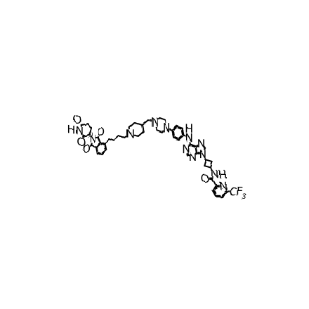 O=C1CC[C@H](N2C(=O)c3cccc(CCCCN4CCC(CN5CCN(c6ccc(Nc7ncnc8c7ncn8C7CC(NC(=O)c8cccc(C(F)(F)F)n8)C7)cc6)CC5)CC4)c3C2=O)C(=O)N1